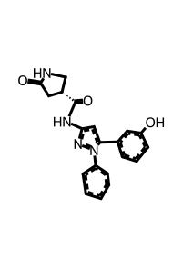 O=C1C[C@@H](C(=O)Nc2cc(-c3cccc(O)c3)n(-c3ccccc3)n2)CN1